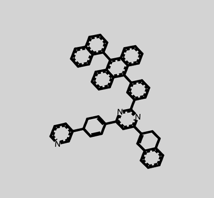 C1=CC(c2cccnc2)CC=C1c1cc(C2=Cc3ccccc3CC2)nc(-c2cccc(-c3c4ccccc4c(-c4cccc5ccccc45)c4ccccc34)c2)n1